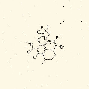 COC(=O)c1c(OS(=O)(=O)C(F)(F)F)c2cc(F)c(Br)c3c2n(c1=O)C(C)CC3